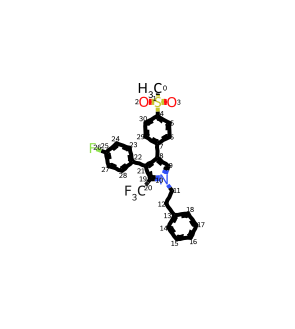 CS(=O)(=O)c1ccc(-c2cn(CCc3ccccc3)c(C(F)(F)F)c2-c2ccc(F)cc2)cc1